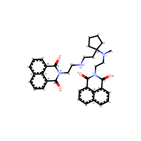 CN(CCN1C(=O)c2cccc3cccc(c23)C1=O)C1(CCNCCN2C(=O)c3cccc4cccc(c34)C2=O)CCCC1